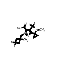 COC1(c2nn(CC3(C)CC(F)(F)C3)c(C(=O)O)c2C(F)(F)F)CC1